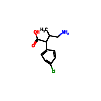 CC(CN)C(C(=O)O)c1ccc(Cl)cc1